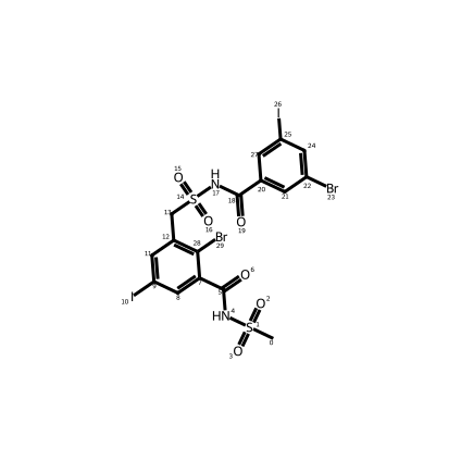 CS(=O)(=O)NC(=O)c1cc(I)cc(CS(=O)(=O)NC(=O)c2cc(Br)cc(I)c2)c1Br